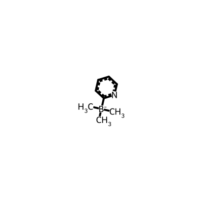 C[B-](C)(C)c1ccccn1